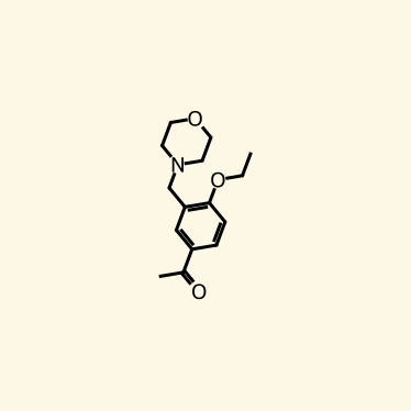 CCOc1ccc(C(C)=O)cc1CN1CCOCC1